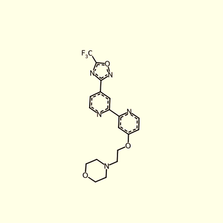 FC(F)(F)c1nc(-c2ccnc(-c3cc(OCCN4CCOCC4)ccn3)c2)no1